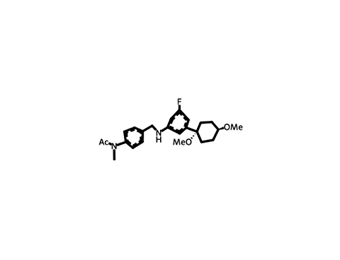 CO[C@H]1CC[C@@](OC)(c2cc(F)cc(NCc3ccc(N(C)C(C)=O)cc3)c2)CC1